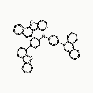 c1ccc2c(c1)cc(-c1ccc(N(c3ccc(-c4cccc5c4sc4ccccc45)cc3)c3cccc4oc5c6ccccc6ccc5c34)cc1)c1ccccc12